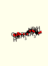 CC(C)c1nn(C2CCC(CN(C)CCOCCOCCCc3cccc4c3n(C)c(=O)n4C3CCC(=O)NC3=O)CC2)cc1NC(=O)c1coc(-c2ccnc(NCC3CC3)c2)n1